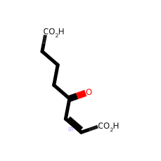 O=C(O)/C=C\C(=O)CCCC(=O)O